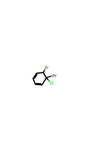 CCCC1(Cl)C=CC=CC1Br